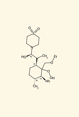 CCC[C@H]1[C@H](C)CC[C@@H](C(C)[C@@H](O)N2CCS(=O)(=O)CC2)C1(COCC)OO